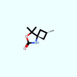 CC1(C)OC(=O)N[C@]12C[C@@H](C)C2